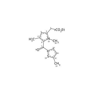 CCOC(=O)Cc1cc(C)c(C(=O)c2ccc(C)s2)n1C